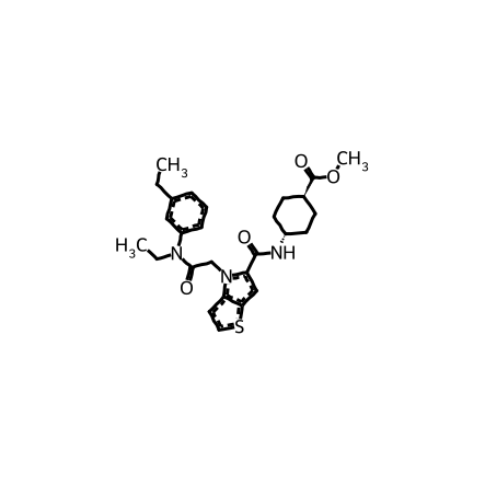 CCc1cccc(N(CC)C(=O)Cn2c(C(=O)N[C@H]3CC[C@H](C(=O)OC)CC3)cc3sccc32)c1